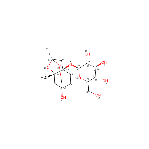 C[C@]12C[C@]3(O)CC[C@@]1(O[C@@H]1O[C@H](CO)[C@@H](O)[C@H](O)[C@H]1O)C[C@@H](O3)O2